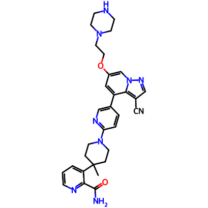 CC1(c2cccnc2C(N)=O)CCN(c2ccc(-c3cc(OCCN4CCNCC4)cn4ncc(C#N)c34)cn2)CC1